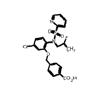 CC(F)CN(c1ccc(Cl)cc1OCc1ccc(C(=O)O)cc1)S(=O)(=O)c1ccccn1